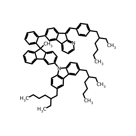 CCCCC(CC)Cc1ccc(/C=C2/c3ccc(-c4ccccc4C4(C)c5ccccc5-c5cc(-n6c7ccc(CC(CC)CCCC)cc7c7cc(CC(CC)CCCC)ccc76)ccc54)cc3-c3cccnc32)cc1